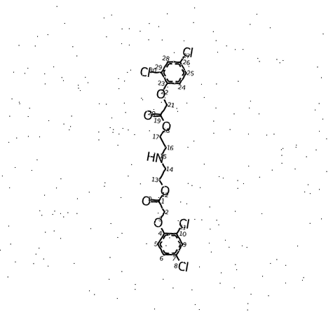 O=C(COc1ccc(Cl)cc1Cl)OCCNCCOC(=O)COc1ccc(Cl)cc1Cl